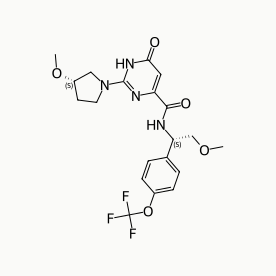 COC[C@@H](NC(=O)c1cc(=O)[nH]c(N2CC[C@H](OC)C2)n1)c1ccc(OC(F)(F)F)cc1